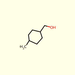 [CH2]C1CCC(CO)CC1